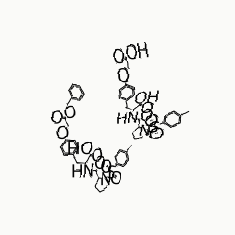 Cc1ccc(S(=O)(=O)N2CCC[C@H]2C(=O)N[C@@H](Cc2ccc(OCC(=O)O)cc2)C(=O)O)cc1.Cc1ccc(S(=O)(=O)N2CCC[C@H]2C(=O)N[C@@H](Cc2ccc(OCC(=O)OCc3ccccc3)cc2)C(=O)O)cc1